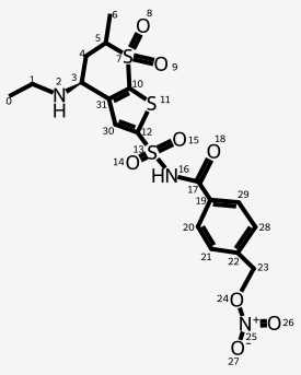 CCN[C@H]1CC(C)S(=O)(=O)c2sc(S(=O)(=O)NC(=O)c3ccc(CO[N+](=O)[O-])cc3)cc21